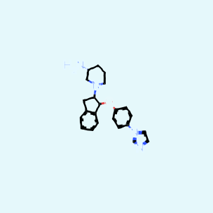 N[C@H]1CCCN(C2Cc3ccccc3C2Oc2ccc(-n3ccnc3)cc2)C1